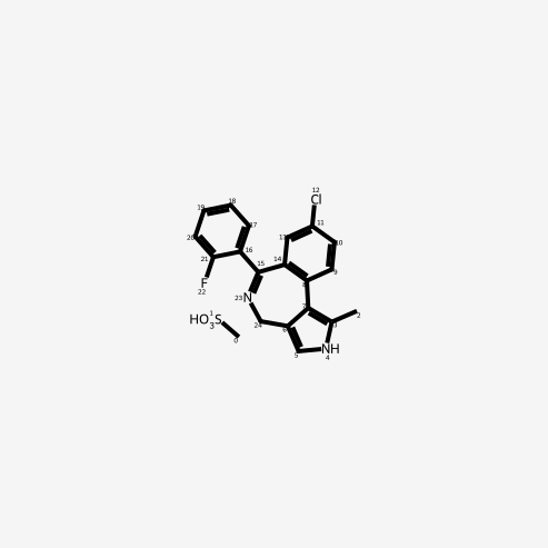 CS(=O)(=O)O.Cc1[nH]cc2c1-c1ccc(Cl)cc1C(c1ccccc1F)=NC2